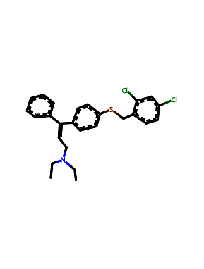 CCN(CC)CC=C(c1ccccc1)c1ccc(SCc2ccc(Cl)cc2Cl)cc1